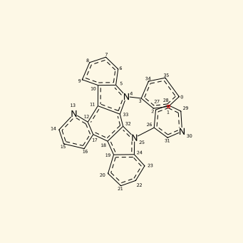 c1ccc(-n2c3ccccc3c3c4ncccc4c4c5ccccc5n(-c5cccnc5)c4c32)cc1